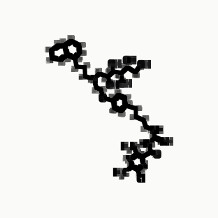 Cc1nc(N)c(C(=O)NC(=N)NCCCCc2ccc(OCCN(CCCc3cccc4ccccc34)C[C@H](O)[C@@H](O)[C@H](O)[C@H](O)CO)cc2)nc1Cl